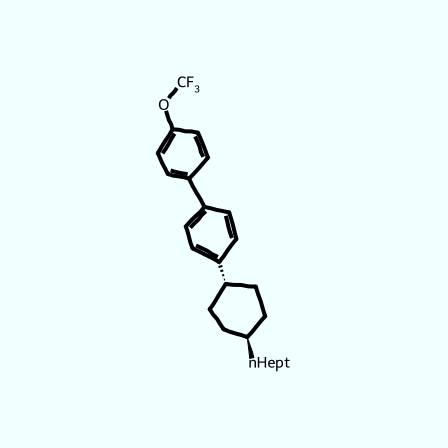 CCCCCCC[C@H]1CC[C@H](c2ccc(-c3ccc(OC(F)(F)F)cc3)cc2)CC1